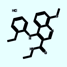 CCNC(=O)c1cnc2c(OC)cccc2c1Nc1ccccc1CC.Cl